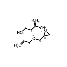 C=C(C#N)CCC#N.C=CCOCC1CO1